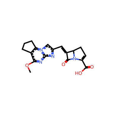 COc1nc2nc(C=C3C(=O)N4C(C(=O)O)=CCC34)cn2c2c1CCC2